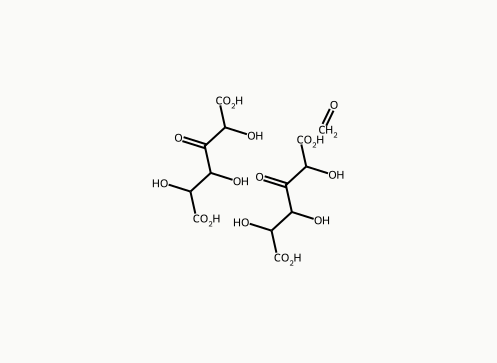 C=O.O=C(O)C(O)C(=O)C(O)C(O)C(=O)O.O=C(O)C(O)C(=O)C(O)C(O)C(=O)O